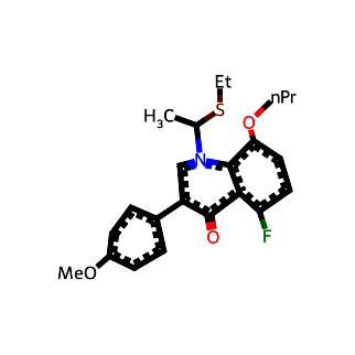 CCCOc1ccc(F)c2c(=O)c(-c3ccc(OC)cc3)cn(C(C)SCC)c12